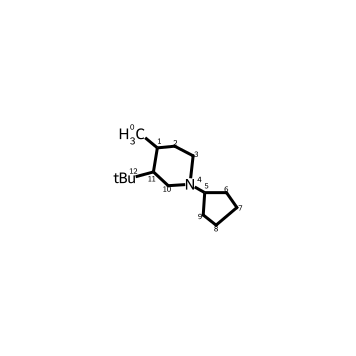 CC1CCN(C2CCCC2)CC1C(C)(C)C